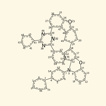 c1ccc(-c2ccc(N3c4ccccc4Oc4cc(-c5ccc6oc7cccc(-c8nc(-c9ccccc9)nc(-c9ccccc9)n8)c7c6c5)ccc43)cc2)cc1